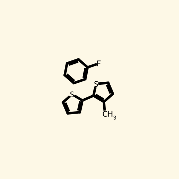 Cc1ccsc1-c1cccs1.Fc1ccccc1